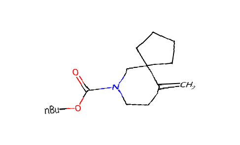 C=C1CCN(C(=O)OCCCC)CC12CCCC2